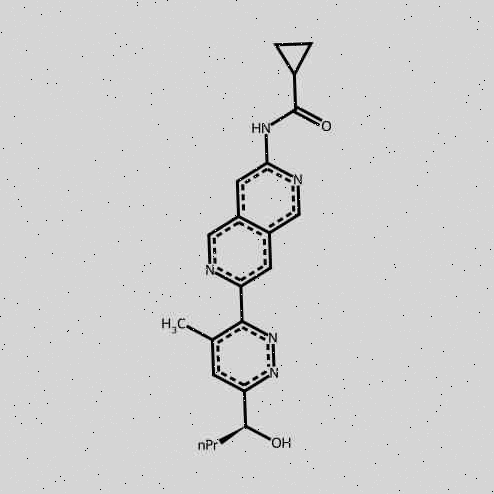 CCC[C@H](O)c1cc(C)c(-c2cc3cnc(NC(=O)C4CC4)cc3cn2)nn1